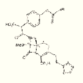 CCCC(=O)Oc1ccc(C(C(=O)O)C(=O)N[C@]2(OC)C(=O)N3C(C(=O)O)=C(CSc4nnco4)CS[C@H]32)cc1